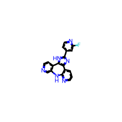 Fc1cc(-c2nc3c([nH]2)-c2ccncc2Nc2ncccc2-3)ccn1